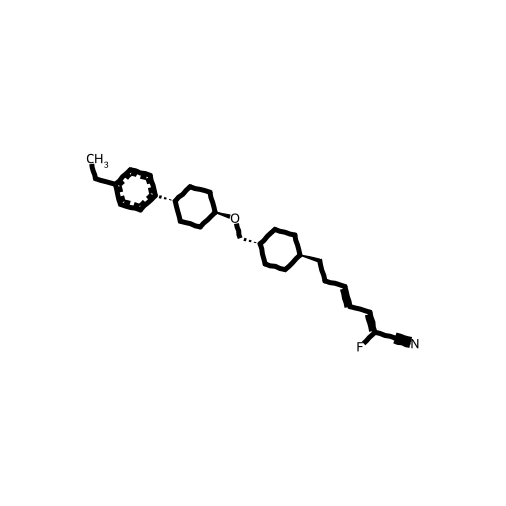 CCc1ccc([C@H]2CC[C@H](OC[C@H]3CC[C@H](CCC=CC=C(F)C#N)CC3)CC2)cc1